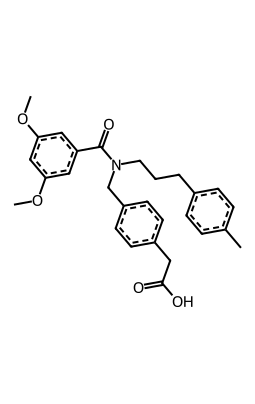 COc1cc(OC)cc(C(=O)N(CCCc2ccc(C)cc2)Cc2ccc(CC(=O)O)cc2)c1